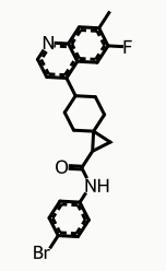 Cc1cc2nccc(C3CCC4(CC3)CC4C(=O)Nc3ccc(Br)cc3)c2cc1F